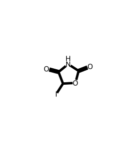 O=C1NC(=O)C(I)O1